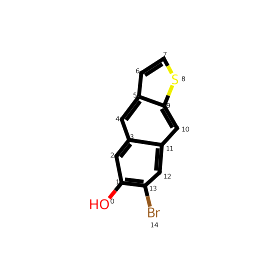 Oc1cc2cc3ccsc3cc2cc1Br